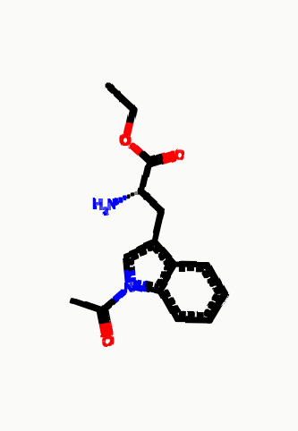 CCOC(=O)[C@@H](N)Cc1cn(C(C)=O)c2ccccc12